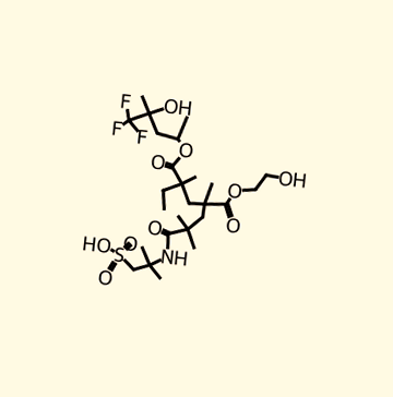 CCC(C)(CC(C)(CC(C)(C)C(=O)NC(C)(C)CS(=O)(=O)O)C(=O)OCCO)C(=O)OC(C)CC(C)(O)C(F)(F)F